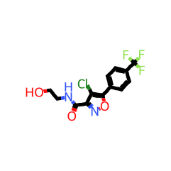 O=C(NCCO)c1noc(-c2ccc(C(F)(F)F)cc2)c1Cl